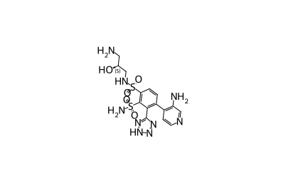 NC[C@H](O)CNS(=O)(=O)c1ccc(-c2ccncc2N)c(-c2nn[nH]n2)c1S(N)(=O)=O